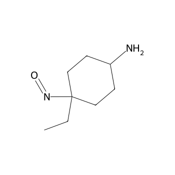 CCC1(N=O)CCC(N)CC1